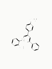 COc1ccc(C2=CN(c3ccccc3O)SC(c3ccccc3)=C2)cc1